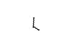 CCCCCCCCCC(C)CCCCCO